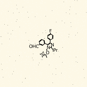 CC(C)c1nc(-c2ccc(F)cc2)c(-c2cccc(C=O)c2)n1COC(C)[Si](C)(C)C